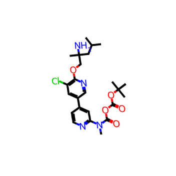 CC(C)CC(C)(N)COc1ncc(-c2ccnc(N(C)C(=O)OC(=O)OC(C)(C)C)c2)cc1Cl